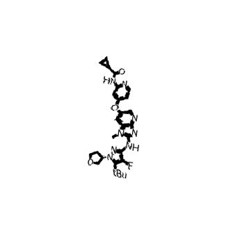 Cn1c(Nc2nn([C@H]3CCOC3)c(C(C)(C)C)c2F)nc2ncc(Oc3ccnc(NC(=O)C4CC4)c3)cc21